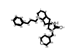 O=C1NC2(CC3CCCN(CCCc4ccccc4)C3C2)CN1CC1CCOCC1